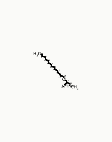 CCCCCCCCCCCCCCCCOCC(C#N)CNC